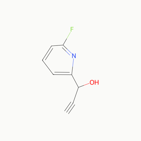 C#CC(O)c1cccc(F)n1